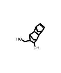 OCC1C(O)C2CC1C1C3C=CC(C3)C21